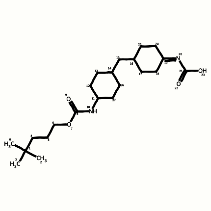 CC(C)(C)CCCOC(=O)NC1CCC(CC2CCC(=NC(=O)O)CC2)CC1